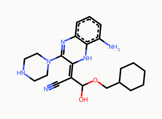 N#C/C(=C1/Nc2c(N)cccc2N=C1N1CCNCC1)C(O)OCC1CCCCC1